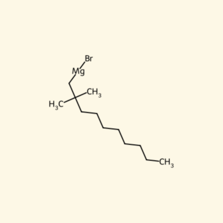 CCCCCCCCC(C)(C)[CH2][Mg][Br]